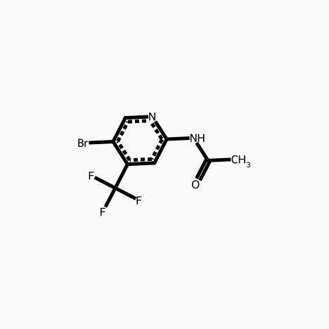 CC(=O)Nc1cc(C(F)(F)F)c(Br)cn1